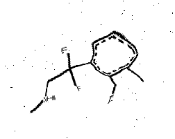 CNCC(F)(F)c1cccc(C)c1F